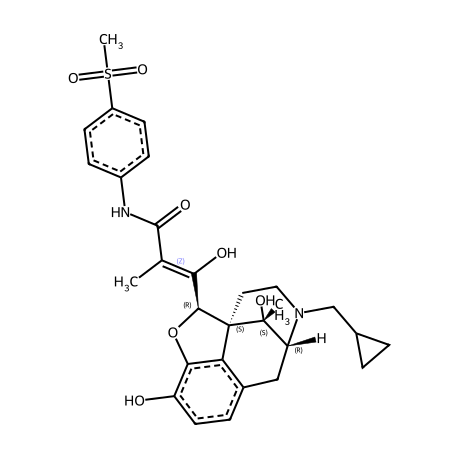 C/C(C(=O)Nc1ccc(S(C)(=O)=O)cc1)=C(/O)[C@@H]1Oc2c(O)ccc3c2[C@@]12CCN(CC1CC1)[C@H](C3)[C@@]2(C)O